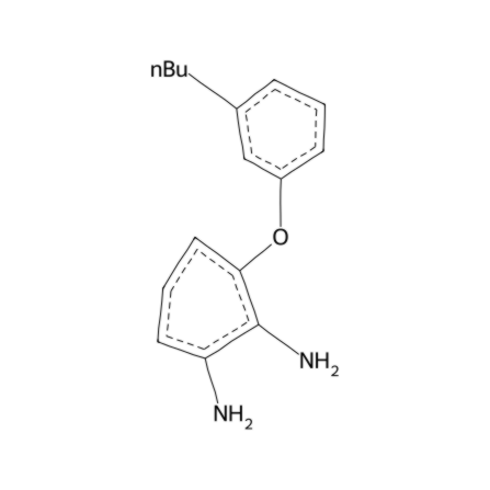 CCCCc1cccc(Oc2cccc(N)c2N)c1